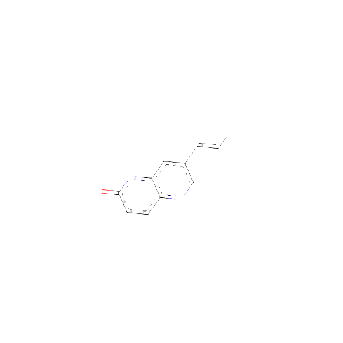 O=C(O)/C=C/c1cnc2ccc(=O)[nH]c2c1